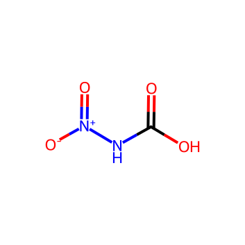 O=C(O)N[N+](=O)[O-]